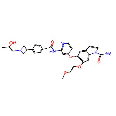 CNC(=O)n1ccc2cc(Oc3ccnc(NC(=O)c4ccc(C5CN(CC(C)O)C5)cc4)c3)c(OCCOC)cc21